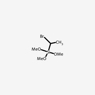 CO[Si](OC)(OC)C(C)Br